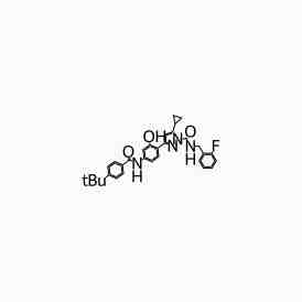 CC(C)(C)c1ccc(C(=O)Nc2ccc(-c3cc(C4CC4)n(C(=O)NCc4ccccc4F)n3)c(O)c2)cc1